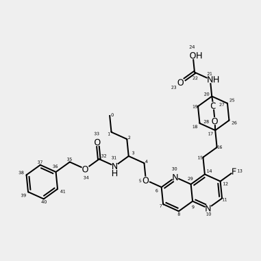 CCCC(COc1ccc2ncc(F)c(CCC34CCC(NC(=O)O)(CC3)CO4)c2n1)NC(=O)OCc1ccccc1